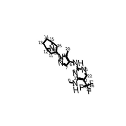 CNc1nc(Nc2cnn(C3CC4CCC(C3)N4C)c2C)ncc1C(F)(F)F